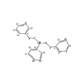 c1ccc(CCP(CCc2ccccc2)c2ccccc2)cc1